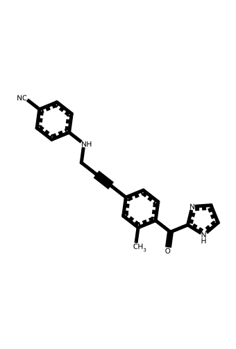 Cc1cc(C#CCNc2ccc(C#N)cc2)ccc1C(=O)c1ncc[nH]1